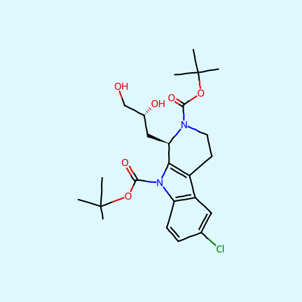 CC(C)(C)OC(=O)N1CCc2c(n(C(=O)OC(C)(C)C)c3ccc(Cl)cc23)[C@H]1C[C@@H](O)CO